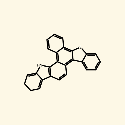 C1=c2[nH]c3c(ccc4c3c3ccccc3c3sc5ccccc5c43)c2=CCC1